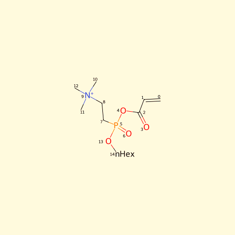 C=CC(=O)OP(=O)(CC[N+](C)(C)C)OCCCCCC